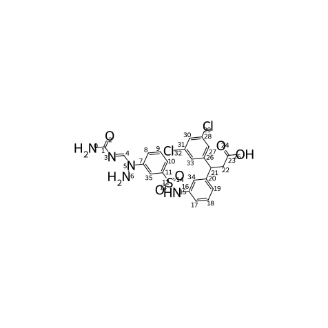 NC(=O)N=CN(N)c1cccc(S(=O)(=O)Nc2cccc(C(CC(=O)O)c3cc(Cl)cc(Cl)c3)c2)c1